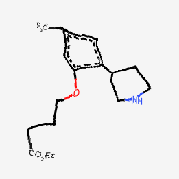 CCOC(=O)CCCOc1cc(C(F)(F)F)ccc1C1CCNC1